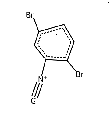 [C-]#[N+]c1cc(Br)ccc1Br